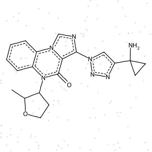 CC1OCCC1n1c(=O)c2c(-n3cc(C4(N)CC4)nn3)ncn2c2ccccc21